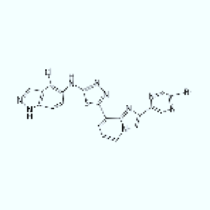 Clc1c(Nc2nnc(-c3cccn4cc(-c5cnc(Br)cn5)nc34)s2)ccc2[nH]ncc12